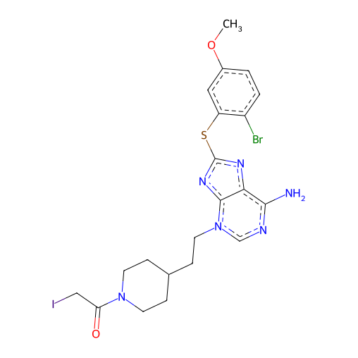 COc1ccc(Br)c(Sc2nc3c(N)ncn(CCC4CCN(C(=O)CI)CC4)c-3n2)c1